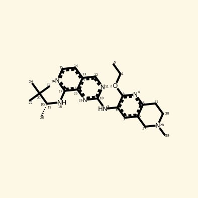 CCOc1nc2c(cc1Nc1ncc3ccnc(N[C@H](C)C(C)(C)C)c3n1)CN(C)CC2